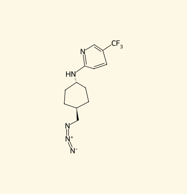 [N-]=[N+]=NC[C@H]1CC[C@H](Nc2ccc(C(F)(F)F)cn2)CC1